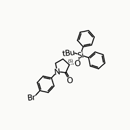 CC(C)(C)[Si](O[C@H]1CCN(c2ccc(Br)cc2)C1=O)(c1ccccc1)c1ccccc1